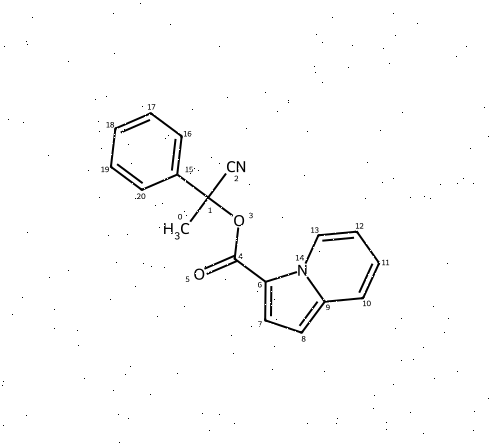 CC(C#N)(OC(=O)c1ccc2ccccn12)c1ccccc1